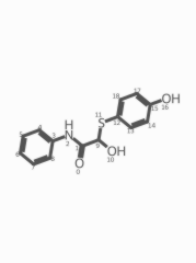 O=C(Nc1ccccc1)C(O)Sc1ccc(O)cc1